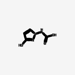 O=C(O)Nn1ccc(O)n1